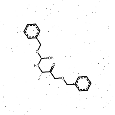 C[C@H](NC(O)OCc1ccccc1)C(=O)COCc1ccccc1